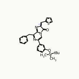 CC(C)(C)[Si](C)(C)Oc1cccc(C2=CN3C(=O)/C(=C\c4cccs4)N=C3C(Cc3ccccc3)=N2)c1